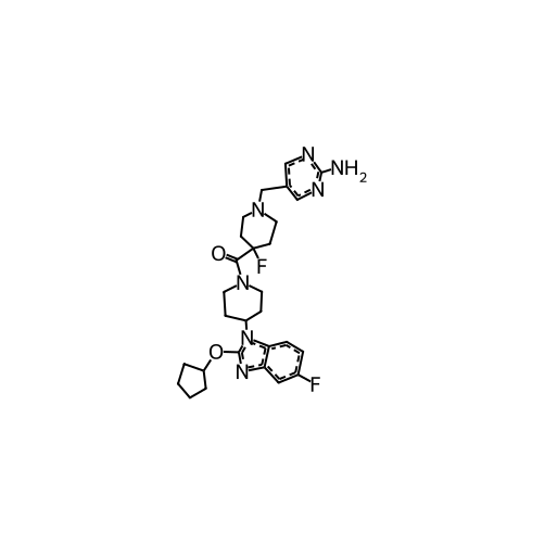 Nc1ncc(CN2CCC(F)(C(=O)N3CCC(n4c(OC5CCCC5)nc5cc(F)ccc54)CC3)CC2)cn1